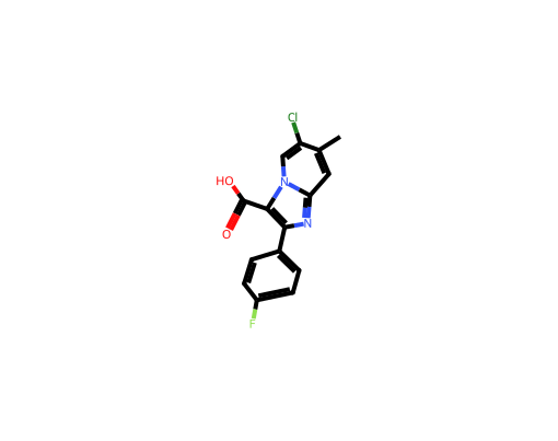 Cc1cc2nc(-c3ccc(F)cc3)c(C(=O)O)n2cc1Cl